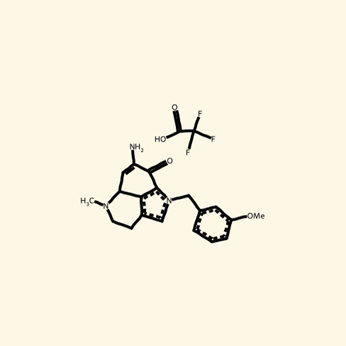 COc1cccc(Cn2cc3c4c2C(=O)C(N)=CC4N(C)CC3)c1.O=C(O)C(F)(F)F